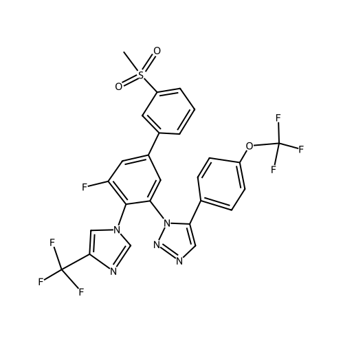 CS(=O)(=O)c1cccc(-c2cc(F)c(-n3cnc(C(F)(F)F)c3)c(-n3nncc3-c3ccc(OC(F)(F)F)cc3)c2)c1